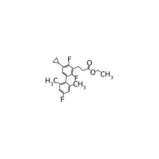 CCOC(=O)CCc1c(F)c(-c2c(C)cc(F)cc2C)cc(C2CC2)c1F